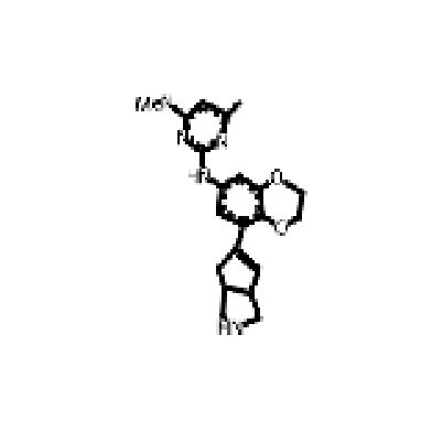 CNc1cc(C)nc(Nc2cc3c(c(C4=CC5CNCC5C4)c2)OCCO3)n1